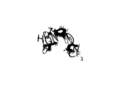 Cn1c(=O)n(CC2(O)COC2)c2cc(Oc3ccc(C(F)(F)F)nc3)ccc21